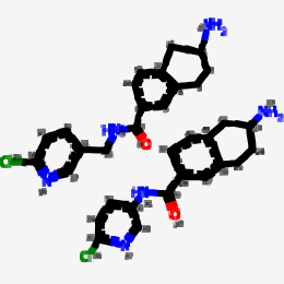 NC1CCc2cc(C(=O)NCc3ccc(Cl)nc3)ccc2C1.NC1CCc2cc(C(=O)Nc3ccc(Cl)nc3)ccc2C1